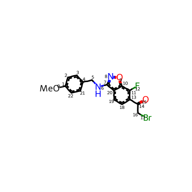 COc1ccc(CNc2noc3c(F)c(C(=O)CBr)ccc23)cc1